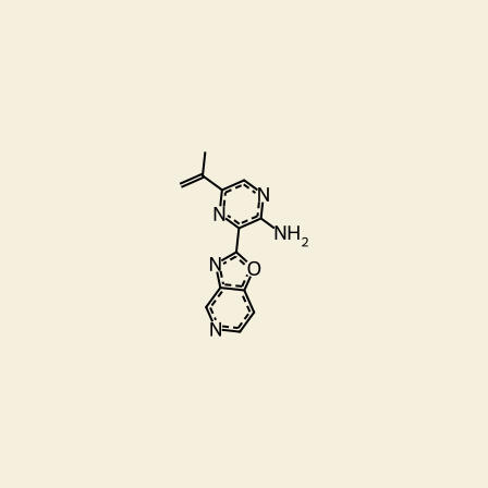 C=C(C)c1cnc(N)c(-c2nc3cnccc3o2)n1